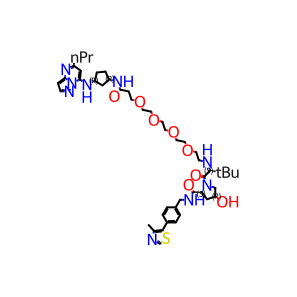 CCCc1cc(N[C@@H]2CC[C@@H](NC(=O)CCOCCOCCOCCOCCN[C@H](C(=O)N3C[C@H](O)C[C@H]3C(=O)NCc3ccc(-c4scnc4C)cc3)C(C)(C)C)C2)n2nccc2n1